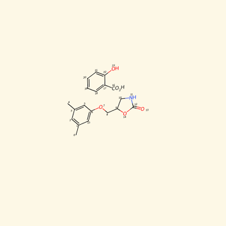 Cc1cc(C)cc(OCC2CNC(=O)O2)c1.O=C(O)c1ccccc1O